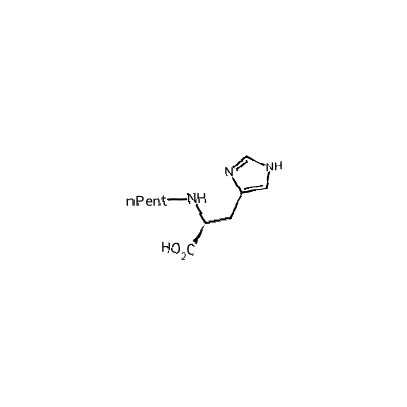 CCCCCN[C@@H](Cc1c[nH]cn1)C(=O)O